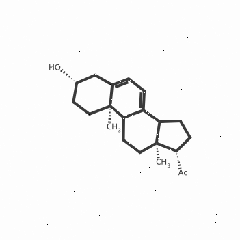 CC(=O)[C@H]1CCC2C3=CC=C4C[C@@H](O)CC[C@]4(C)C3CC[C@@]21C